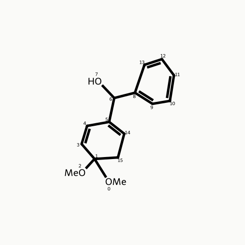 COC1(OC)C=CC(C(O)c2ccccc2)=CC1